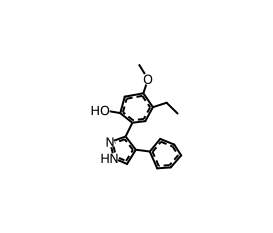 CCc1cc(-c2n[nH]cc2-c2ccccc2)c(O)cc1OC